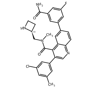 Cc1cc(Cl)cc(-c2cnc3ccc(-c4cc(F)cc(C(N)=O)c4)cc3c2C(=O)N(C)C[C@@H]2CCN2)c1